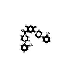 Cc1cc(C)c(N2CCN(c3ccccc3C#N)CC2)cc1C(=O)N1CCN(c2ccccc2C#N)CC1